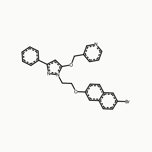 Brc1ccc2cc(OCCn3nc(-c4ccccc4)cc3OCc3cccnc3)ccc2c1